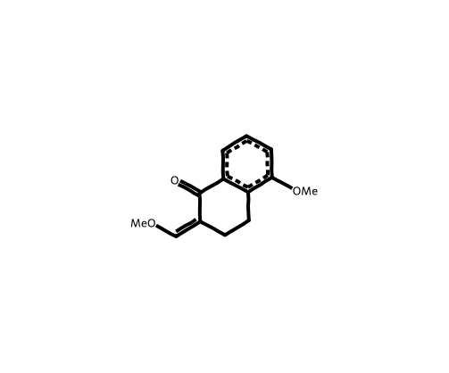 COC=C1CCc2c(OC)cccc2C1=O